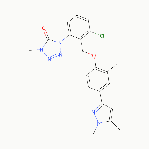 Cc1cc(-c2cc(C)n(C)n2)ccc1OCc1c(Cl)cccc1-n1nnn(C)c1=O